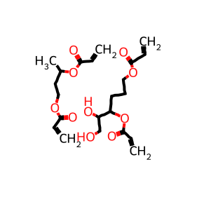 C=CC(=O)OCCC(C)OC(=O)C=C.C=CC(=O)OCCCC(OC(=O)C=C)C(O)CO